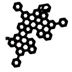 CC(C)(C)c1cc2c3c(c1)N(c1c(-c4ccccc4)cc(-c4ccccc4)cc1-c1ccccc1)c1ccccc1B3c1cc3c(cc1S2)N(c1c(-c2ccccc2)cc(-c2ccccc2)cc1-c1ccccc1)c1cc(N2C4CC5CC(C4)CC2C5)cc2c1B3c1ccccc1N2c1c(-c2ccccc2)cc(-c2ccccc2)cc1-c1ccccc1